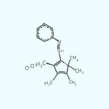 CC1=C(C)C(C)(C)[C](/[V+2]=[N]/c2ccccc2)=C1C.[Cl-].[Cl-]